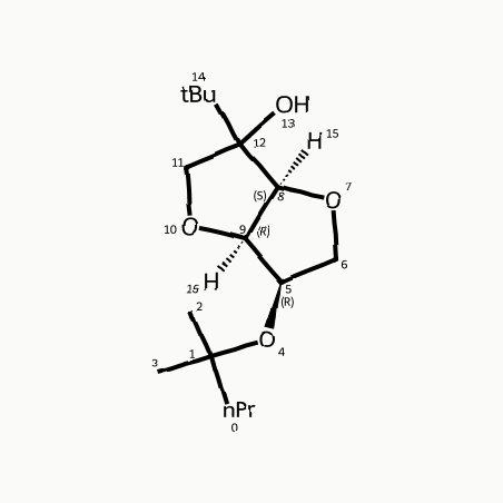 CCCC(C)(C)O[C@@H]1CO[C@H]2[C@@H]1OCC2(O)C(C)(C)C